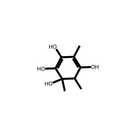 CC1=C(O)C(C)C(C)(O)C(O)=C1O